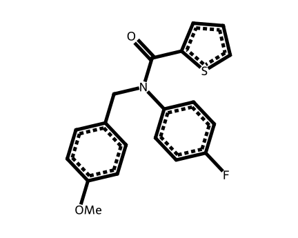 COc1ccc(CN(C(=O)c2cccs2)c2ccc(F)cc2)cc1